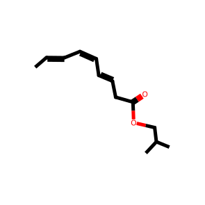 CC=C/C=C\C=C\CC(=O)OCC(C)C